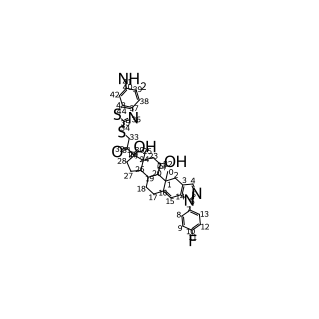 CC12Cc3cnn(-c4ccc(F)cc4)c3C=C1CCC1C2[C@@H](O)CC2(C)C1CC[C@]2(O)C(=O)CSc1nc2ccc(N)cc2s1